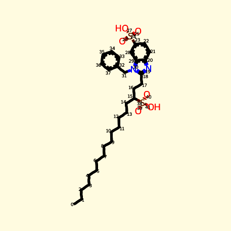 CCCCCCCCCCCCCCCC(CCc1nc2ccc(S(=O)(=O)O)cc2n1Cc1ccccc1)S(=O)(=O)O